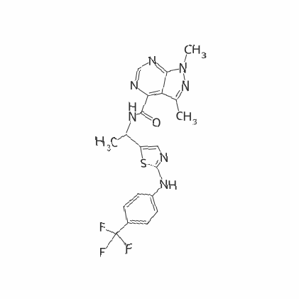 Cc1nn(C)c2ncnc(C(=O)NC(C)c3cnc(Nc4ccc(C(F)(F)F)cc4)s3)c12